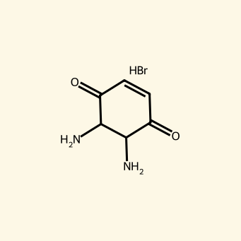 Br.NC1C(=O)C=CC(=O)C1N